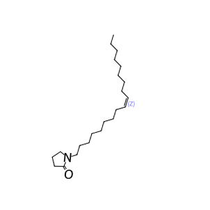 CCCCCCCC/C=C\CCCCCCCCN1CCCC1=O